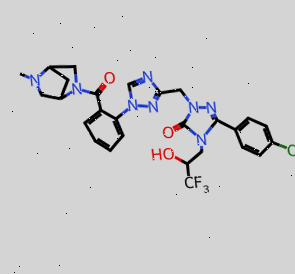 CN1CC2CC1CN2C(=O)c1ccccc1-n1cnc(Cn2nc(-c3ccc(Cl)cc3)n(CC(O)C(F)(F)F)c2=O)n1